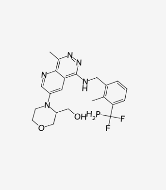 Cc1c(CNc2nnc(C)c3ncc(N4CCOCC4CO)cc23)cccc1C(F)(F)P